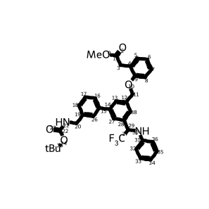 COC(=O)Cc1ccccc1OCc1cc(-c2cccc(CNC(=O)OC(C)(C)C)c2)cc(C(Nc2ccccc2)C(F)(F)F)c1